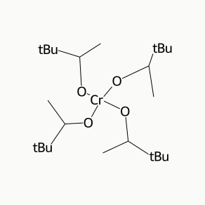 CC([O][Cr]([O]C(C)C(C)(C)C)([O]C(C)C(C)(C)C)[O]C(C)C(C)(C)C)C(C)(C)C